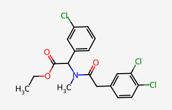 CCOC(=O)C(c1cccc(Cl)c1)N(C)C(=O)Cc1ccc(Cl)c(Cl)c1